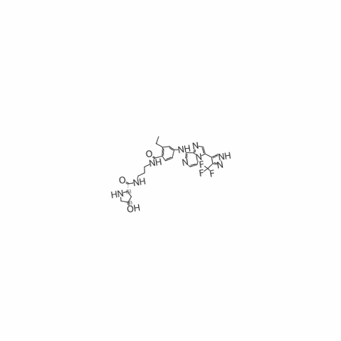 CCc1cc(Nc2nccn3c(-c4c[nH]nc4C(F)(F)F)cnc23)ccc1C(=O)NCCCNC(=O)[C@@H]1C[C@@H](O)CN1